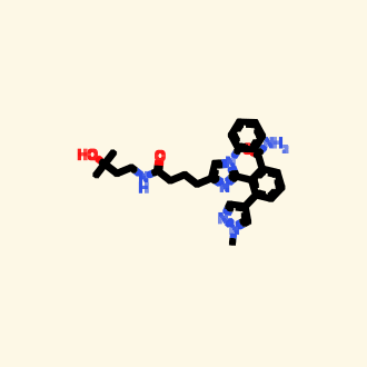 Cn1cc(-c2cccc(C(N)=O)c2-c2nc(CCCC(=O)NCCC(C)(C)O)cn2-c2ccccc2)cn1